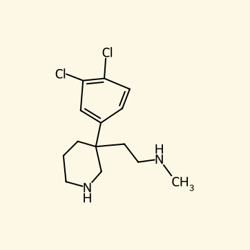 CNCCC1(c2ccc(Cl)c(Cl)c2)CCCNC1